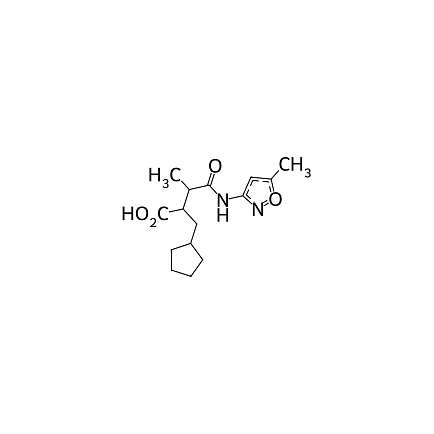 Cc1cc(NC(=O)C(C)C(CC2CCCC2)C(=O)O)no1